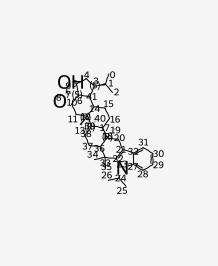 CC(C)[C@@H]1CC[C@]2(C(=O)O)CC[C@]3(C)C(CCC4[C@@]5(C)Cc6c(n(C(C)C)c7ccccc67)C(C)(C)C5CC[C@]43C)C12